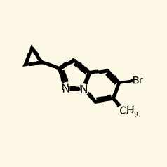 Cc1cn2nc(C3CC3)cc2cc1Br